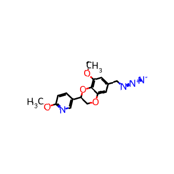 COc1ccc(C2COc3cc(CN=[N+]=[N-])cc(OC)c3O2)cn1